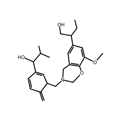 C=C1C=CC(C(O)C(C)C)=CC1CN1COc2c(cc(C(CC)CO)cc2OC)C1